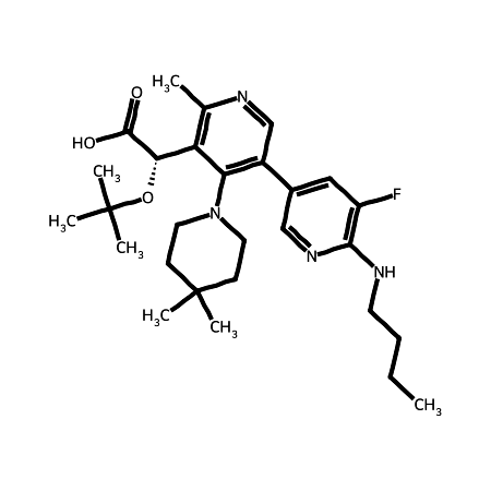 CCCCNc1ncc(-c2cnc(C)c([C@H](OC(C)(C)C)C(=O)O)c2N2CCC(C)(C)CC2)cc1F